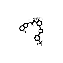 CN1CCCC2CC(NC(=O)C(=N)c3cc(-c4ccc(-c5cccc(C(F)(F)F)c5)s4)ccc3N)CC21